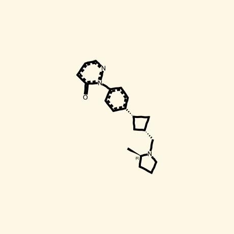 C[C@@H]1CCCN1C[C@H]1C[C@@H](c2ccc(-n3ncccc3=O)cc2)C1